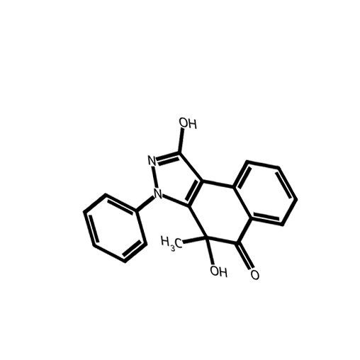 CC1(O)C(=O)c2ccccc2-c2c(O)nn(-c3ccccc3)c21